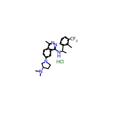 Cc1c(C(C)Nc2nnc(C)c3ccc(N4CC[C@@H](N(C)C)C4)cc23)cccc1C(F)(F)F.Cl